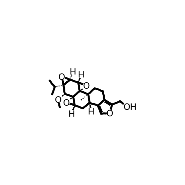 CO[C@@H]1[C@@]2(C(C)C)O[C@H]2[C@@H]2O[C@]23[C@]12O[C@H]2C[C@H]1c2coc(CO)c2CC[C@@]13C